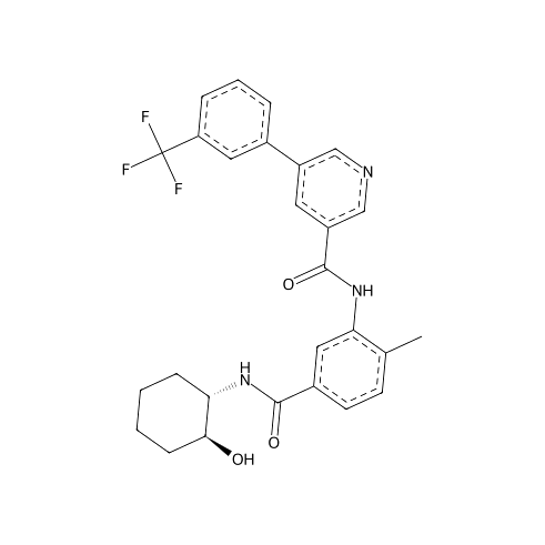 Cc1ccc(C(=O)N[C@H]2CCCC[C@@H]2O)cc1NC(=O)c1cncc(-c2cccc(C(F)(F)F)c2)c1